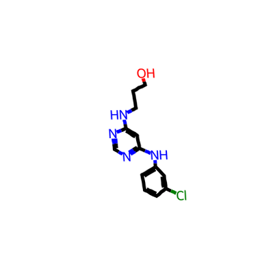 OCCCNc1cc(Nc2cccc(Cl)c2)ncn1